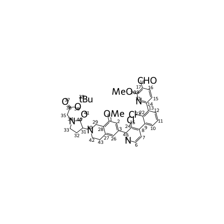 COc1cc(-c2nccc(-c3cccc(-c4ccc(C=O)c(OC)n4)c3Cl)c2Cl)cc2c1CN(C1CCN(CC(=O)OC(C)(C)C)C1=O)CC2